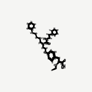 CCOC(Cc1ccc(OCCN(CCCCSc2ccccc2)C(=O)NCCc2ccccc2)cc1)C(=O)O